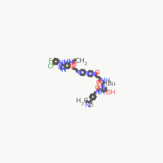 C=CC(=O)Nc1cc2c(Nc3ccc(F)c(Cl)c3)ncnc2cc1OCCCN1CCC(N2CCN(C(=O)CCC(=O)NC(C(=O)N3C[C@H](O)C[C@H]3C(=O)NCc3ccc(-c4scnc4C)cc3)C(C)(C)C)CC2)CC1